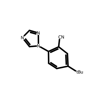 CC(C)(C)c1ccc(-n2cncn2)c(C#N)c1